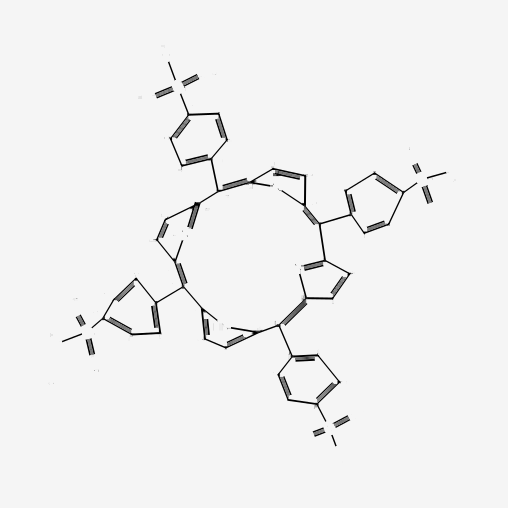 O=S(=O)(O)c1ccc(-c2c3nc(c(-c4ccc(S(=O)(=O)O)cc4)c4ccc([nH]4)c(-c4ccc(S(=O)(=O)O)cc4)c4nc(c(-c5ccc(S(=O)(=O)O)cc5)c5ccc2[nH]5)C=C4)C=C3)cc1.[Fe+3]